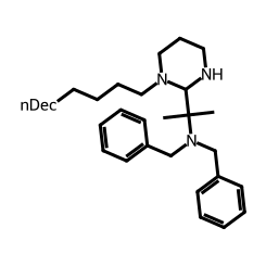 CCCCCCCCCCCCCCN1CCCNC1C(C)(C)N(Cc1ccccc1)Cc1ccccc1